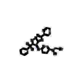 CCN(CC(C)C)c1ccc(/N=C2/C(S(=O)(=O)c3ccccc3)=Nn3nc(-c4ccccn4)nc32)nc1